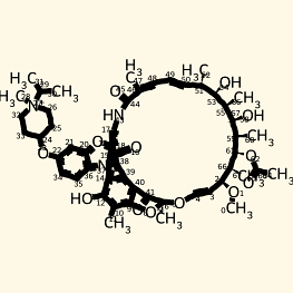 CO[C@H]1/C=C/O[C@@]2(C)Oc3c(C)c(O)c4c(=O)c(c5oc6cc(OC7CC[N+](C)(C(C)C)CC7)ccc6nc-5c4c3C2=O)NC(=O)/C(C)=C\C=C\[C@H](C)[C@H](O)[C@@H](C)[C@@H](O)[C@@H](C)[C@H](OC(C)=O)[C@@H]1C